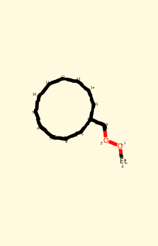 CCOOCC1CCCCCCCCCCC1